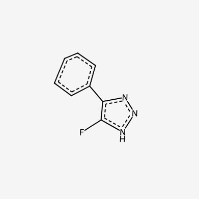 Fc1[nH]nnc1-c1ccccc1